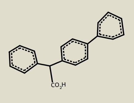 O=C(O)C(c1ccccc1)c1ccc(-c2ccccc2)cc1